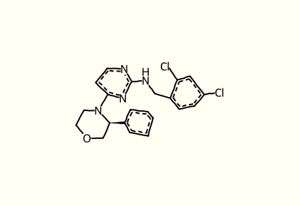 Clc1ccc(CNc2nccc(N3CCOC[C@@H]3c3ccccc3)n2)c(Cl)c1